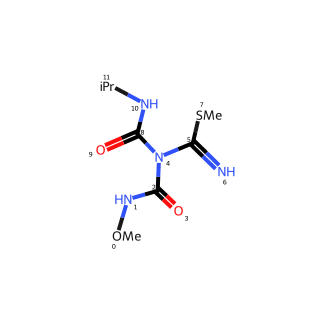 CONC(=O)N(C(=N)SC)C(=O)NC(C)C